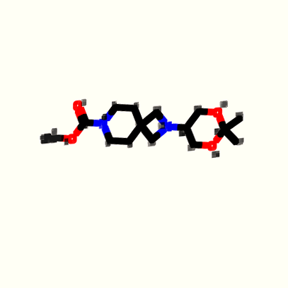 CC(C)(C)OC(=O)N1CCC2(CC1)CN(C1COC(C)(C)OC1)C2